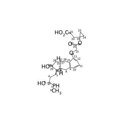 CP[C@H](O)CC[C@@H]1[C@H]2Cc3cccc(OCC(=O)OC4(CCC(=O)O)CC4)c3C[C@H]2C[C@H]1O